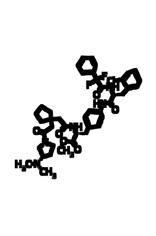 COC(=O)[C@@H](Cc1ccc(NC(=O)[C@H](Cc2ccccc2Cl)NC(=O)C(F)(F)c2ccccc2)cc1)NC(=O)CC1(CC(=O)N2CC[C@H](N(C)C)C2)CCCC1